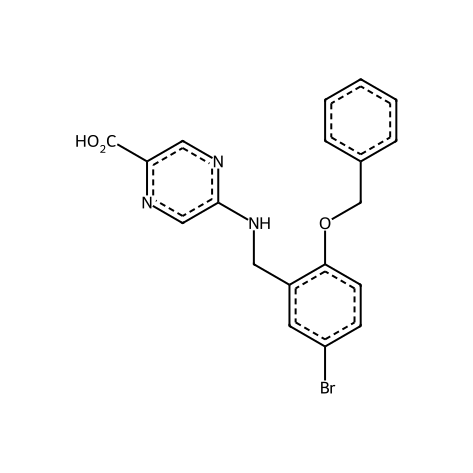 O=C(O)c1cnc(NCc2cc(Br)ccc2OCc2ccccc2)cn1